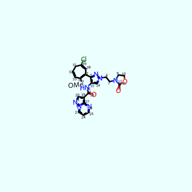 COC1=C(c2nn(CCN3CCOC3=O)cc2NC(=O)c2cnn3cccnc23)C=C(Cl)CC=C1